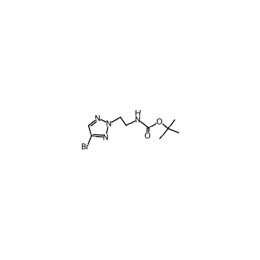 CC(C)(C)OC(=O)NCCn1ncc(Br)n1